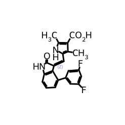 Cc1[nH]c(/C=C2\C(=O)Nc3cccc(-c4cc(F)cc(F)c4)c32)c(C)c1C(=O)O